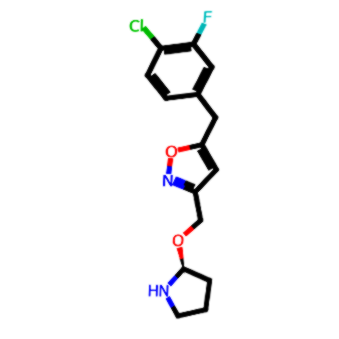 Fc1cc(Cc2cc(CO[C@H]3CCCN3)no2)ccc1Cl